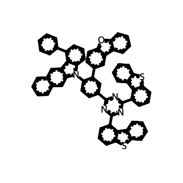 c1ccc(-c2cccc3c2c2cc4ccccc4cc2n3-c2ccc(-c3nc(-c4cccc5sc6ccccc6c45)nc(-c4cccc5sc6ccccc6c45)n3)cc2-c2ccc3oc4ccccc4c3c2)cc1